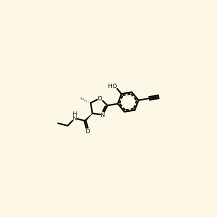 C#Cc1ccc(C2=N[C@@H](C(=O)NCC)[C@H](C)O2)c(O)c1